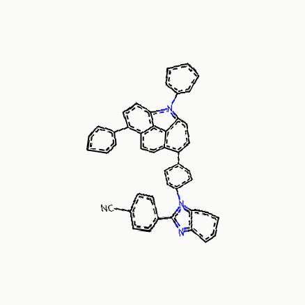 N#Cc1ccc(-c2nc3ccccc3n2-c2ccc(-c3ccc4c5c3ccc3c(-c6ccccc6)ccc(c35)n4-c3ccccc3)cc2)cc1